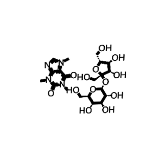 Cn1c(=O)c2c(ncn2C)n(C)c1=O.OC[C@H]1O[C@@](CO)(O[C@H]2O[C@H](CO)[C@@H](O)[C@H](O)[C@H]2O)[C@@H](O)[C@@H]1O